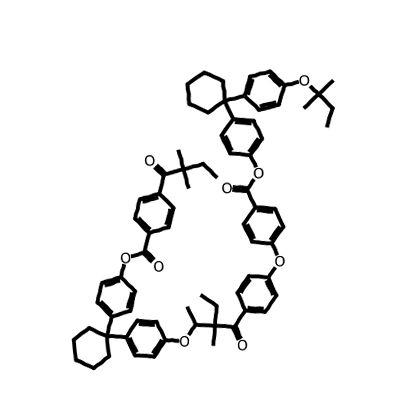 CCC(C)(C)Oc1ccc(C2(c3ccc(OC(=O)c4ccc(Oc5ccc(C(=O)C(C)(CC)C(C)Oc6ccc(C7(c8ccc(OC(=O)c9ccc(C(=O)C(C)(C)CC)cc9)cc8)CCCCC7)cc6)cc5)cc4)cc3)CCCCC2)cc1